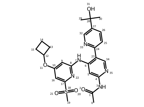 CC(=O)Nc1cc(Nc2cc(OC3CCC3)cc(S(C)(=O)=O)n2)c(-c2ccc(C(C)(C)O)cn2)cn1